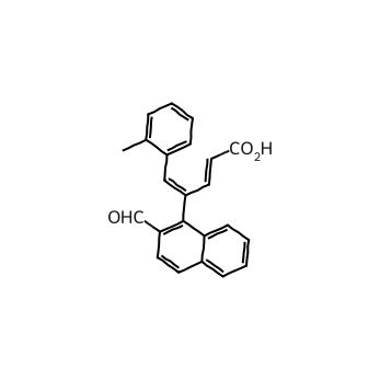 Cc1ccccc1C=C(C=CC(=O)O)c1c(C=O)ccc2ccccc12